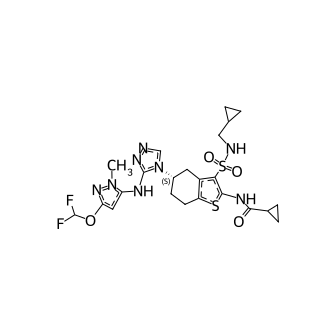 Cn1nc(OC(F)F)cc1Nc1nncn1[C@H]1CCc2sc(NC(=O)C3CC3)c(S(=O)(=O)NCC3CC3)c2C1